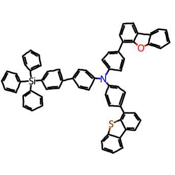 c1ccc([Si](c2ccccc2)(c2ccccc2)c2ccc(-c3ccc(N(c4ccc(-c5cccc6c5oc5ccccc56)cc4)c4ccc(-c5cccc6c5sc5ccccc56)cc4)cc3)cc2)cc1